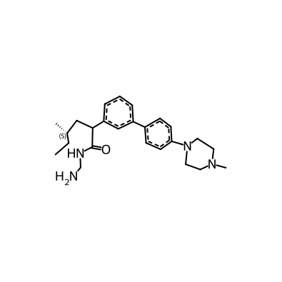 CC[C@H](C)CC(C(=O)NCN)c1cccc(-c2ccc(N3CCN(C)CC3)cc2)c1